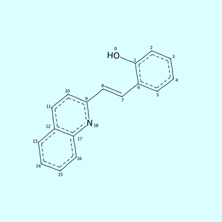 Oc1ccccc1C=Cc1ccc2ccccc2n1